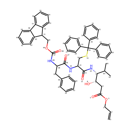 C=CCOC(=O)C[C@H](O)[C@H](NC(=O)C(CSC(c1ccccc1)(c1ccccc1)c1ccccc1)NC(=O)C(Cc1ccccc1)NC(=O)OCC1c2ccccc2-c2ccccc21)C(C)C